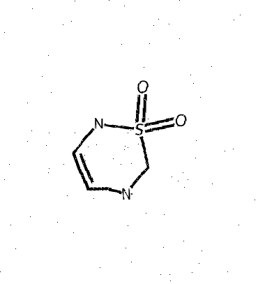 O=S1(=O)C[N]C=C[N]1